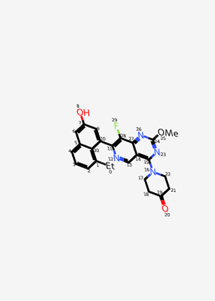 CCc1cccc2cc(O)cc(-c3ncc4c(N5CCC(=O)CC5)nc(OC)nc4c3F)c12